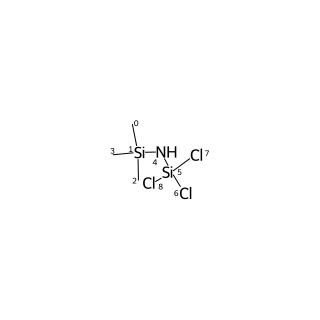 C[Si](C)(C)N[Si](Cl)(Cl)Cl